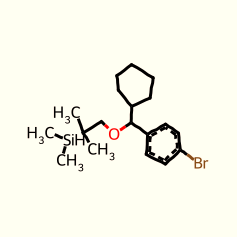 C[SiH](C)C(C)(C)COC(c1ccc(Br)cc1)C1CCCCC1